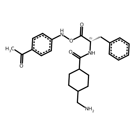 CC(=O)c1ccc(NOC(=O)[C@H](Cc2ccccc2)NC(=O)C2CCC(CN)CC2)cc1